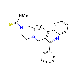 CNC(=S)N1CCN(Cc2c(-c3ccccc3)nc3ccccc3c2C(=O)O)CC1